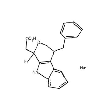 CCC1(CC(=O)O)OCC(Cc2ccccc2)c2c1[nH]c1ccccc21.[Na]